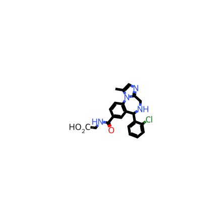 Cc1cnc2n1-c1ccc(C(=O)NCC(=O)O)cc1C(c1ccccc1Cl)NC2